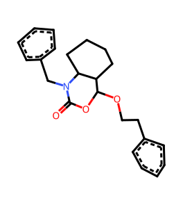 O=C1OC(OCCc2ccccc2)C2CCCCC2N1Cc1ccccc1